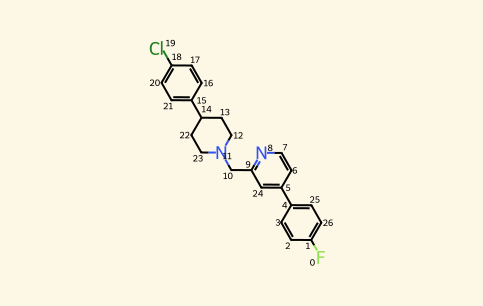 Fc1ccc(-c2ccnc(CN3CCC(c4ccc(Cl)cc4)CC3)c2)cc1